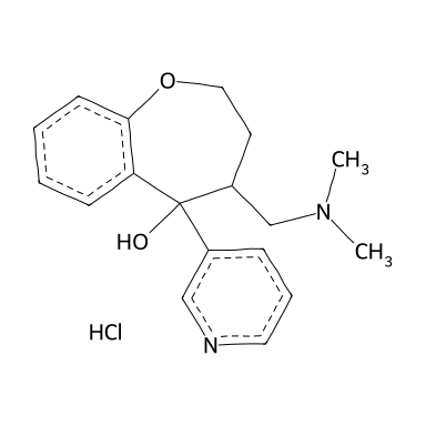 CN(C)CC1CCOc2ccccc2C1(O)c1cccnc1.Cl